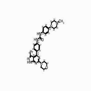 CC(C)c1n[nH]c2nc(N3CCOCC3)nc(-c3ccc(NC(=O)Nc4ccc(N5CCN(C)CC5)cc4)cc3)c12